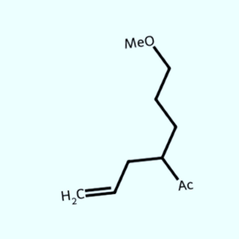 C=CCC(CCCOC)C(C)=O